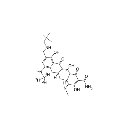 [2H]C([2H])([2H])N(C)c1cc(CNCC(C)(C)C)c(O)c2c1C[C@H]1C[C@@H]3C(C(=O)C(C(N)=O)=C(O)[C@H]3N(C)C)C(O)=C1C2=O